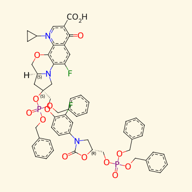 O=C(O)c1cn(C2CC2)c2c3c(c(F)cc2c1=O)N1C[C@@](COc2ccc(N4C[C@H](COP(=O)(OCc5ccccc5)OCc5ccccc5)OC4=O)cc2F)(OP(=O)(OCc2ccccc2)OCc2ccccc2)C[C@H]1CO3